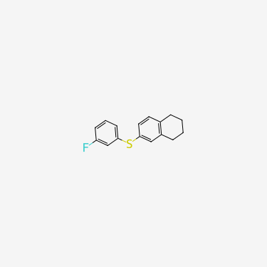 Fc1cccc(Sc2ccc3c(c2)CCCC3)c1